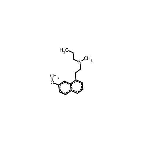 CCCN(C)CCc1cccc2ccc(OC)cc12